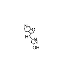 OC1=NN=C(Nc2coc3cnccc23)C1